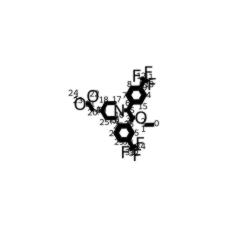 CCOC(C)C(c1ccc(C(F)(F)F)cc1)N1CC[C@@H](CC(=O)OC)C[C@H]1c1ccc(C(F)(F)F)cc1